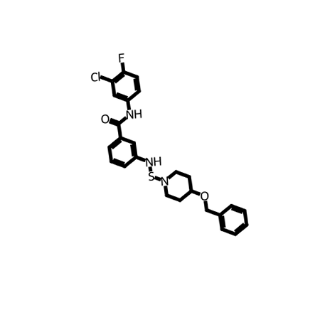 O=C(Nc1ccc(F)c(Cl)c1)c1cccc(NSN2CCC(OCc3ccccc3)CC2)c1